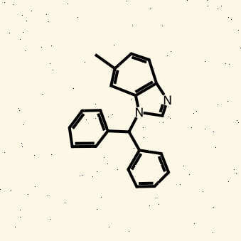 Cc1ccc2ncn(C(c3ccccc3)c3ccccc3)c2c1